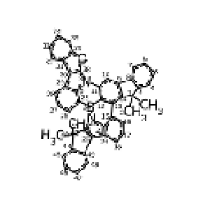 CC1(C)c2ccccc2-c2cc3c4c(c21)-c1cccc2c5c(n(c12)B4c1cccc2c4c6ccccc6oc4n-3c12)C(C)(C)c1ccccc1-5